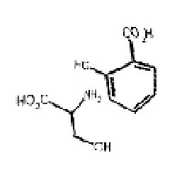 NC(CO)C(=O)O.O=C(O)c1ccccc1O